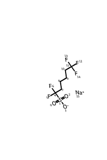 O=S(=O)([O-])C(F)(F)CCCCC(F)(F)F.[Na+]